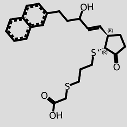 O=C(O)CSCCCS[C@H]1C(=O)CC[C@@H]1C=CC(O)CCc1ccc2ccccc2c1